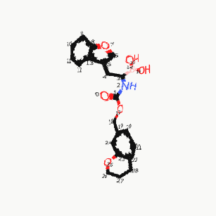 O=C(NC(Cc1coc2ccccc12)B(O)O)OCc1ccc2c(c1)OCCC2